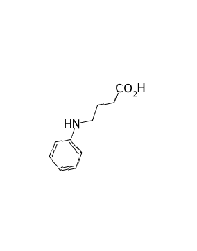 O=C(O)CCCNc1ccccc1